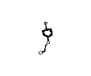 ClCCOc1ccc(Br)cc1